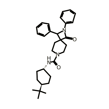 CC(C)(C)[C@H]1CC[C@H](NC(=O)N2CCC3(CC2)C(=O)N(c2ccccc2)C3c2ccccc2)CC1